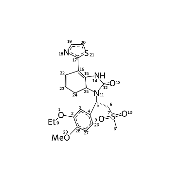 CCOc1cc([C@@H](CS(C)(=O)=O)N2C(=O)NC3=C(c4nccs4)C=CCC32)ccc1OC